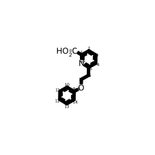 O=C(O)c1cccc(CCOc2ccccc2)n1